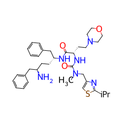 CC(C)c1nc(CN(C)C(=O)N[C@@H](CCN2CCOCC2)C(=O)N[C@H](CC[C@@H](N)Cc2ccccc2)Cc2ccccc2)cs1